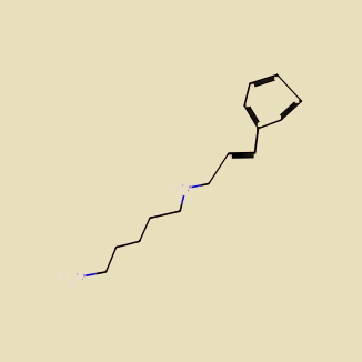 NCCCCCNCC=Cc1ccccc1